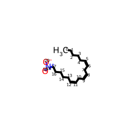 CCCCC/C=C\C/C=C\C/C=C\CCCCC[N+](=O)[O-]